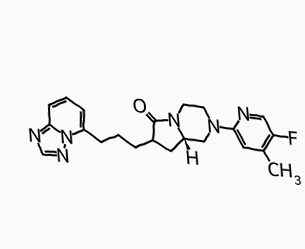 Cc1cc(N2CCN3C(=O)C(CCCc4cccc5ncnn45)C[C@H]3C2)ncc1F